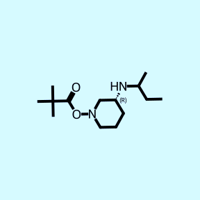 CCC(C)N[C@@H]1CCCN(OC(=O)C(C)(C)C)C1